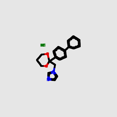 Cl.c1ccc(-c2ccc(C3(Cn4ccnc4)OCCCO3)cc2)cc1